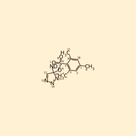 Cc1cc(C)c(S(=O)(=O)OC2([N+](=O)[O-])C=NN=N2)c(C)c1